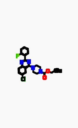 CC(C)(C)COC(=O)N1CCN(c2nc(-c3ccccc3F)nc3ccc(Cl)cc23)CC1